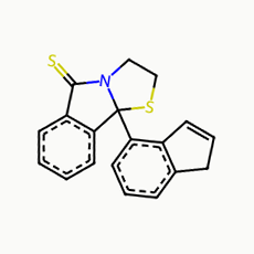 S=C1c2ccccc2C2(c3cccc4c3C=CC4)SCCN12